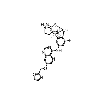 C[C@H]1C2[C@@]1(C(=O)N1CCCC1)SC(N)=N[C@]2(C)c1cc(Nc2ncnc3cc(OCc4ncco4)cnc23)cc(F)c1F